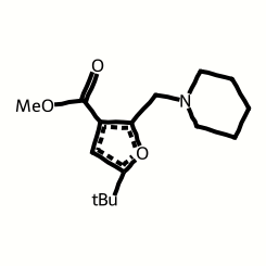 COC(=O)c1cc(C(C)(C)C)oc1CN1CCCCC1